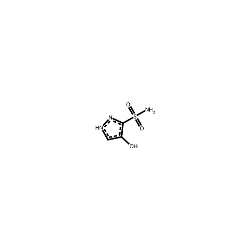 NS(=O)(=O)c1n[nH]cc1O